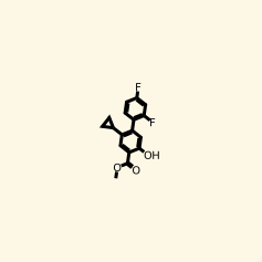 COC(=O)c1cc(C2CC2)c(-c2ccc(F)cc2F)cc1O